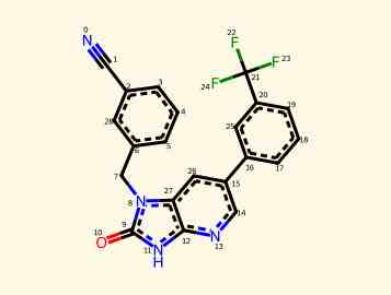 N#Cc1cccc(Cn2c(=O)[nH]c3ncc(-c4cccc(C(F)(F)F)c4)cc32)c1